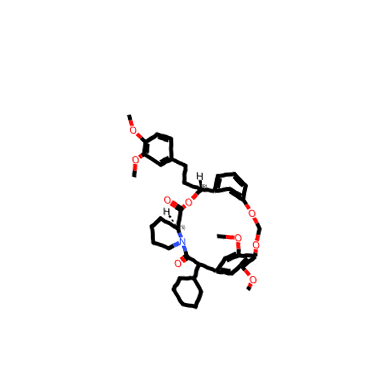 COc1ccc(CC[C@H]2OC(=O)[C@@H]3CCCCN3C(=O)C(C3CCCCC3)c3cc(OC)c(c(OC)c3)OCOc3cccc2c3)cc1OC